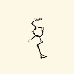 CSCc1ncc(OCC2CC2)c(Cl)n1